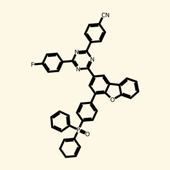 N#Cc1ccc(-c2nc(-c3ccc(F)cc3)nc(-c3cc(-c4ccc(P(=O)(C5=CCCC=C5)c5ccccc5)cc4)c4oc5ccccc5c4c3)n2)cc1